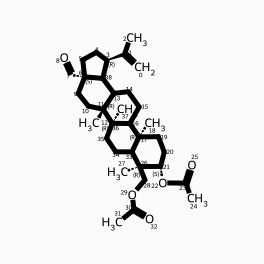 C=C(C)[C@@H]1CC[C@]2(C=O)CC[C@]3(C)C(CCC4[C@@]5(C)CC[C@H](OC(C)=O)[C@@](C)(COC(C)=O)C5CC[C@]43C)C12